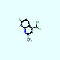 Fc1ccc2c(C(F)F)cc(C(F)(F)F)nc2c1